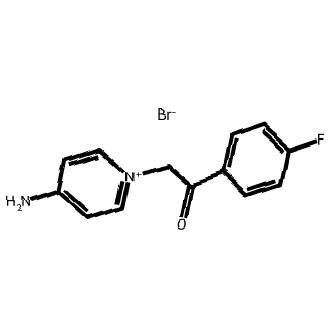 Nc1cc[n+](CC(=O)c2ccc(F)cc2)cc1.[Br-]